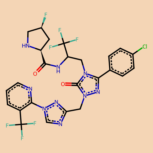 O=C(NC(Cn1c(-c2ccc(Cl)cc2)nn(Cc2ncn(-c3ncccc3C(F)(F)F)n2)c1=O)C(F)(F)F)[C@@H]1C[C@H](F)CN1